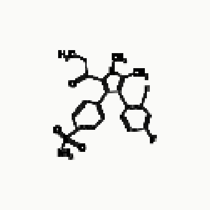 CCC(=O)c1c(-c2ccc(S(N)(=O)=O)cc2)c(-c2ccc(F)cc2F)c(C)n1C